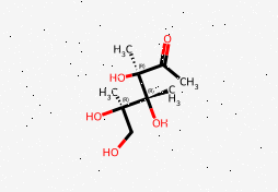 CC(=O)[C@](C)(O)[C@](C)(O)[C@](C)(O)CO